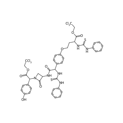 O=C(OCC(Cl)(Cl)Cl)C(CCOc1ccc(C(NC(=S)Nc2ccccc2)C(=O)NC2CN(C(C(=O)OCC(Cl)(Cl)Cl)c3ccc(O)cc3)C2=O)cc1)NC(=S)Nc1ccccc1